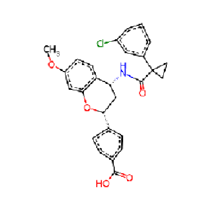 COc1ccc2c(c1)O[C@@H](c1ccc(C(=O)O)cc1)C[C@H]2NC(=O)C1(c2cccc(Cl)c2)CC1